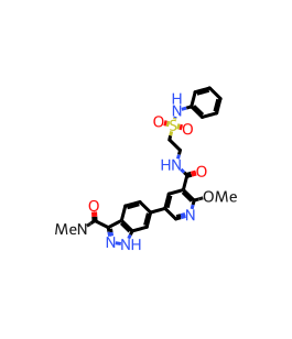 CNC(=O)c1n[nH]c2cc(-c3cnc(OC)c(C(=O)NCCS(=O)(=O)Nc4ccccc4)c3)ccc12